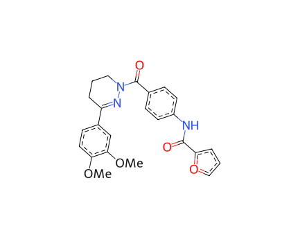 COc1ccc(C2=NN(C(=O)c3ccc(NC(=O)c4ccco4)cc3)CCC2)cc1OC